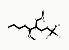 CCCCC(OC)C(CCC(F)(F)F)COC